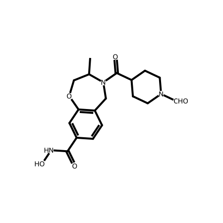 CC1COc2cc(C(=O)NO)ccc2CN1C(=O)C1CCN(C=O)CC1